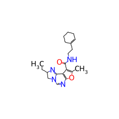 CCC1CN2C=Nc3oc(C)c(C(=O)NCCC4=CCCCC4)c3C2=N1